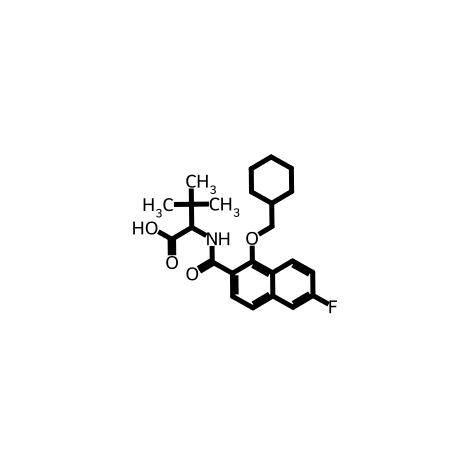 CC(C)(C)C(NC(=O)c1ccc2cc(F)ccc2c1OCC1CCCCC1)C(=O)O